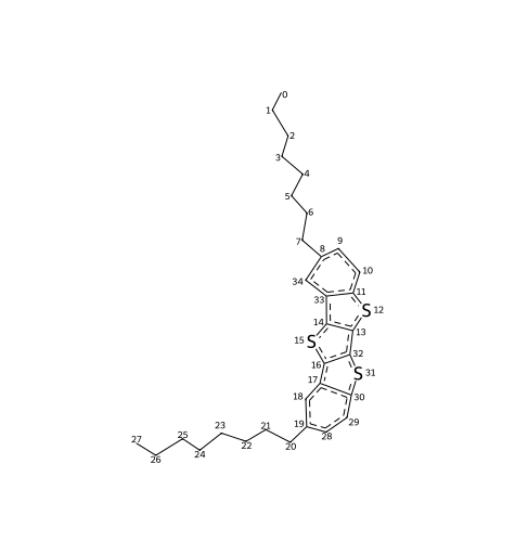 CCCCCCCCc1ccc2sc3c(sc4c5cc(CCCCCCCC)ccc5sc43)c2c1